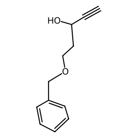 C#CC(O)CCOCc1ccccc1